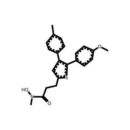 COc1ccc(-c2sc(CCC(=O)N(C)O)cc2-c2ccc(C)cc2)cc1